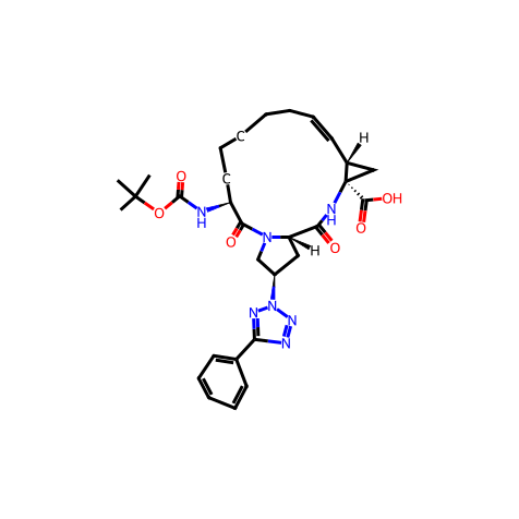 CC(C)(C)OC(=O)N[C@H]1CCCCC/C=C\[C@@H]2C[C@@]2(C(=O)O)NC(=O)[C@@H]2C[C@@H](n3nnc(-c4ccccc4)n3)CN2C1=O